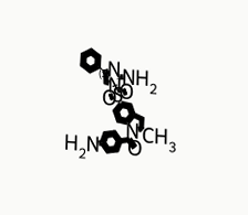 CC1Cc2cc(S(=O)(=O)N3C[C@H](c4ccccc4)N=C3N)ccc2N1C(=O)c1ccc(N)cc1